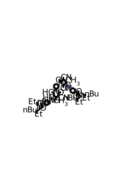 CCCCC(CC)CN(CC(CC)CCCC)S(=O)(=O)c1ccc(/N=N/c2c(C)c(C#N)c(=O)n(-c3cccc(-n4c(O)c(NNc5ccc(S(=O)(=O)N(CC(CC)CCCC)CC(CC)CCCC)cc5)c(C)c(C#N)c4=O)c3)c2O)cc1